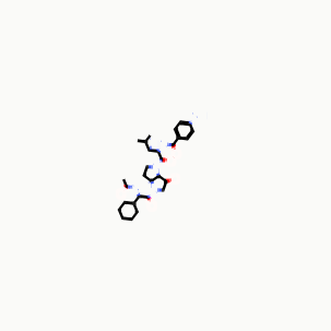 CC(=O)NC(C(=O)N1CC(=O)C2C1CCN2C(=O)C(CC(C)C)NC(=O)c1ccc(N)cc1)C1CCCCC1